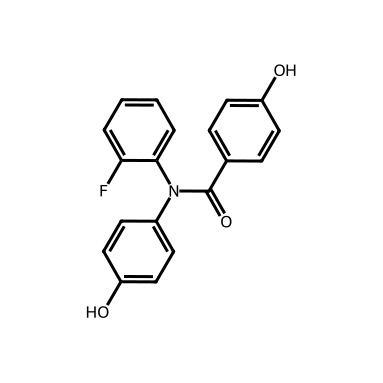 O=C(c1ccc(O)cc1)N(c1ccc(O)cc1)c1ccccc1F